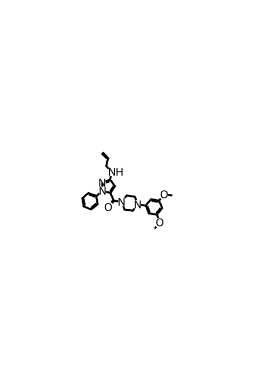 C=CCNc1cc(C(=O)N2CCN(c3cc(OC)cc(OC)c3)CC2)n(-c2ccccc2)n1